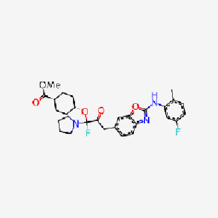 COC(=O)[C@H]1CC[C@H](OC(F)(C(=O)Cc2ccc3nc(Nc4cc(F)ccc4C)oc3c2)N2CCCC2)CC1